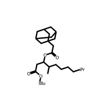 CC(C)CCCCC(C)C(CC(=O)OC(C)(C)C)OC(=O)CC12CC3CC(CC(C3)C1)C2